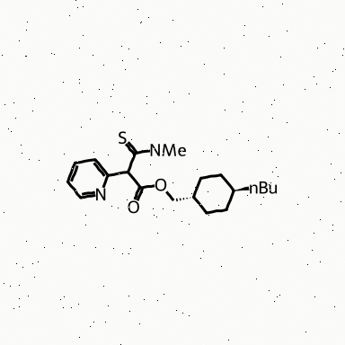 CCCC[C@H]1CC[C@H](COC(=O)C(C(=S)NC)c2ccccn2)CC1